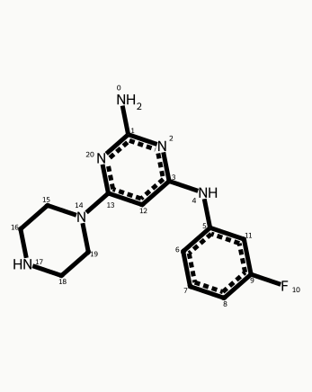 Nc1nc(Nc2cccc(F)c2)cc(N2CCNCC2)n1